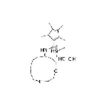 CC1=C(C)C(C)[C]([Hf]([NH]C2CCCCCCCCCCC2)[SiH](C)C)=C1C.Cl.Cl